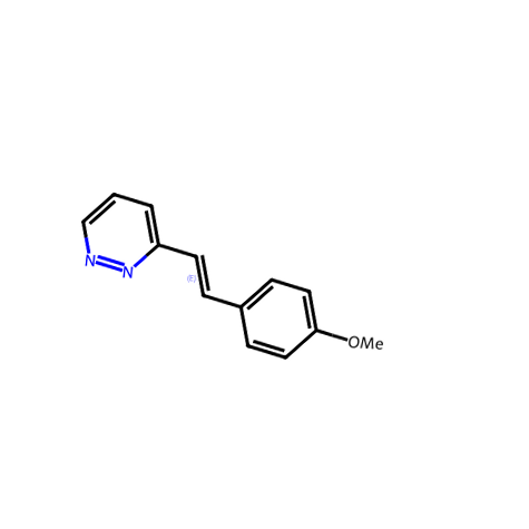 COc1ccc(/C=C/c2cccnn2)cc1